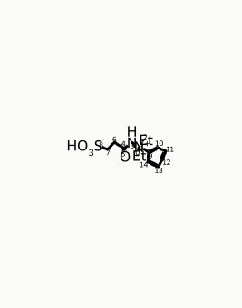 CC[N+](CC)(NC(=O)CCS(=O)(=O)O)c1ccccc1